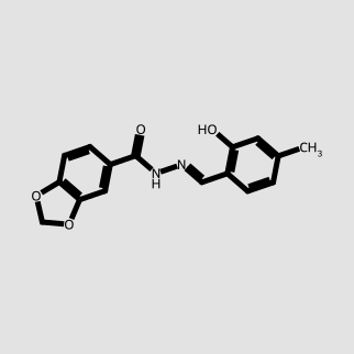 Cc1ccc(/C=N/NC(=O)c2ccc3c(c2)OCO3)c(O)c1